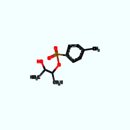 Cc1ccc(S(=O)(=O)OC(C(=O)O)C(O)C(=O)O)cc1